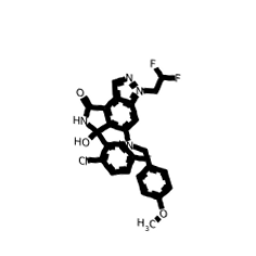 COc1ccc(CNc2cc3c(cnn3CC(F)F)c3c2C(O)(c2cc(F)ccc2Cl)NC3=O)cc1